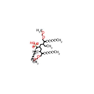 C=C=C=C=C=C(COCOC)C(C)CC(CC(CC)C(=C=C=C=C=C)COCOC)C(=C=C=C=C=C)S(=O)(=O)O